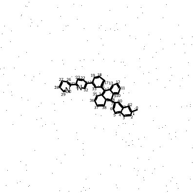 Cc1ccc2ccc(-c3c4ccccc4c(-c4cccc(-c5ccc(-c6ccccn6)nc5)c4)c4ccccc34)cc2c1